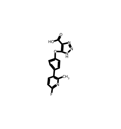 Cc1nc(F)ccc1-c1ccc(Oc2[nH]nnc2C(=O)O)cc1